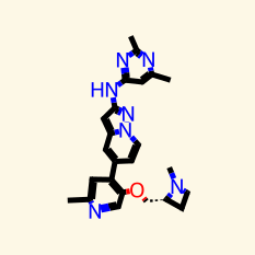 Cc1cc(-c2ccn3nc(Nc4cc(C)nc(C)n4)cc3c2)c(OC[C@H]2CCN2C)cn1